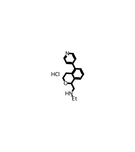 CCNCC1OCCc2c(-c3ccncc3)cccc21.Cl